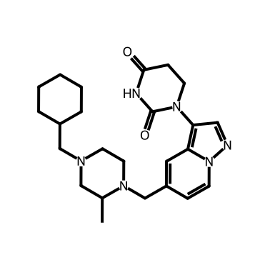 CC1CN(CC2CCCCC2)CCN1Cc1ccn2ncc(N3CCC(=O)NC3=O)c2c1